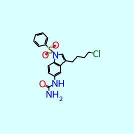 NC(=O)Nc1ccc2c(c1)c(CCCCCl)cn2S(=O)(=O)c1ccccc1